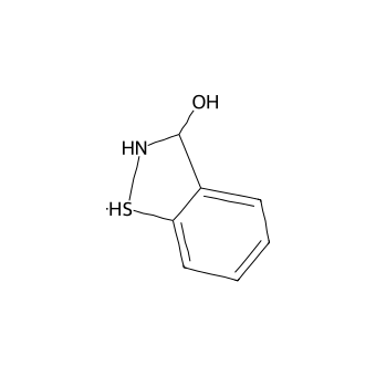 OC1N[SH]c2ccccc21